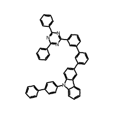 c1ccc(-c2ccc(-n3c4ccccc4c4cc(-c5cccc(-c6cccc(-c7nc(-c8ccccc8)nc(-c8ccccc8)n7)c6)c5)ccc43)cc2)cc1